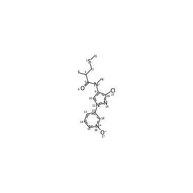 CSCC(C)C(=O)N(C)c1cn(-c2ccc[n+]([O-])c2)nc1Cl